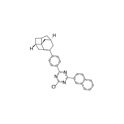 Clc1nc(-c2ccc(C34C[C@@H]5CC6C[C@@H](C3)[C@@]6(C5)C4)cc2)nc(-c2ccc3ccccc3c2)n1